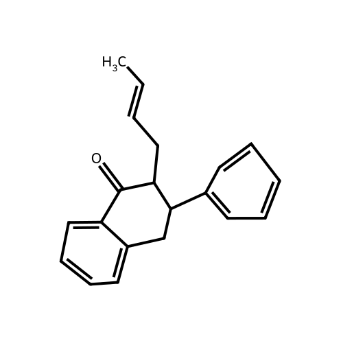 CC=CCC1C(=O)c2ccccc2CC1c1ccccc1